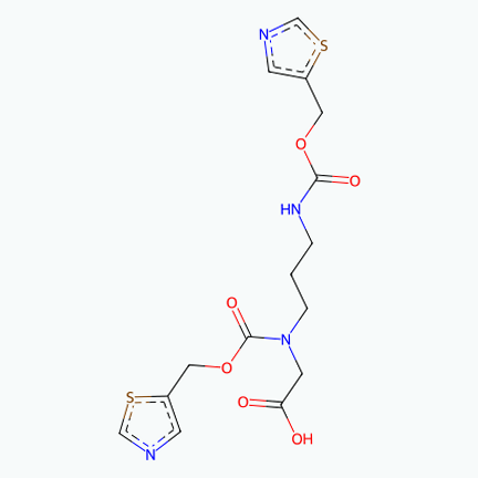 O=C(O)CN(CCCNC(=O)OCc1cncs1)C(=O)OCc1cncs1